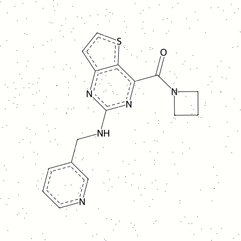 O=C(c1nc(NCc2cccnc2)nc2ccsc12)N1CCC1